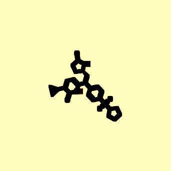 O=C1CC[C@H](C=C(c2ccc(S(=O)(=O)C3CCCC3)cc2)c2ccc(C3CC3)c(=O)[nH]2)N1